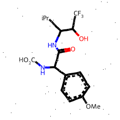 COc1ccc(C(NC(=O)O)C(=O)NC(C(C)C)C(O)C(F)(F)F)cc1